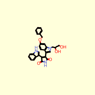 O=C1NC(=O)C(c2cn(CC(O)CO)c3cc(OCc4ccccc4)ccc23)=C1c1c[nH]c2ccccc12